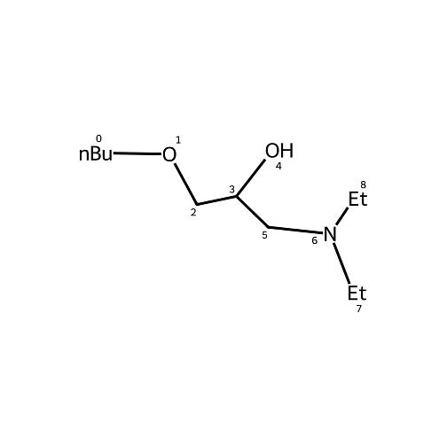 CCCCOCC(O)CN(CC)CC